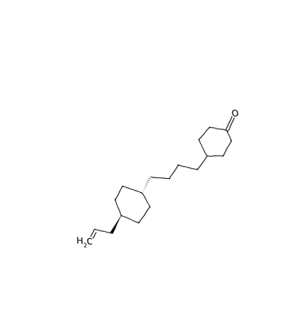 C=CC[C@H]1CC[C@H](CCCCC2CCC(=O)CC2)CC1